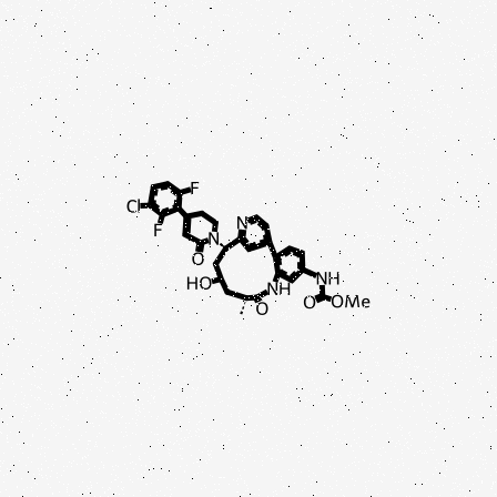 COC(=O)Nc1ccc2c(c1)NC(=O)[C@H](C)CC(O)C[C@H](N1CCC(c3c(F)ccc(Cl)c3F)=CC1=O)c1cc-2ccn1